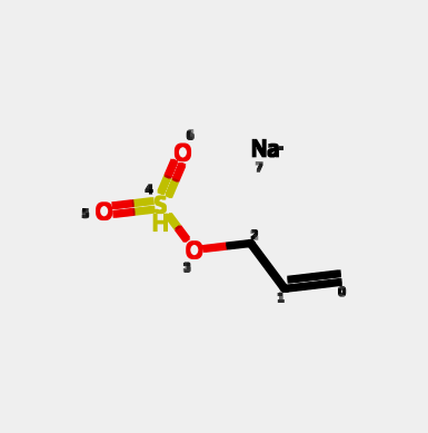 C=CCO[SH](=O)=O.[Na]